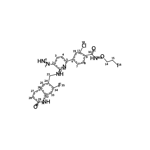 N=Nc1ccc(-c2ccc(C(=O)NOCCI)c(Cl)c2)nc1NCc1cc2ccc(=O)[nH]c2cc1F